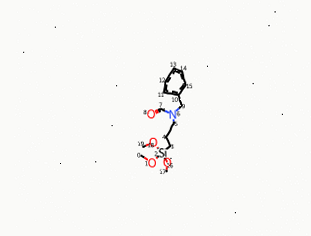 CO[Si](CCCN([C]=O)Cc1ccccc1)(OC)OC